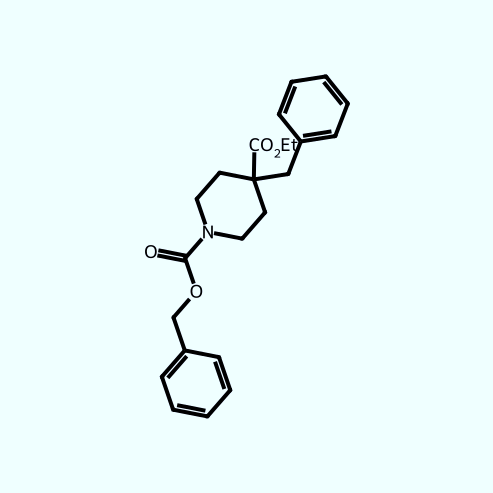 CCOC(=O)C1(Cc2ccccc2)CCN(C(=O)OCc2ccccc2)CC1